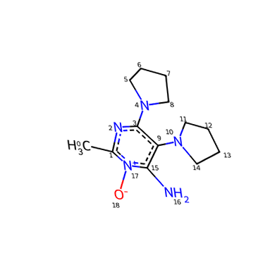 Cc1nc(N2CCCC2)c(N2CCCC2)c(N)[n+]1[O-]